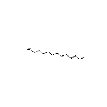 CCC=CCCCCCCCCO